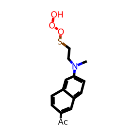 CC(=O)c1ccc2cc(N(C)CCSOOO)ccc2c1